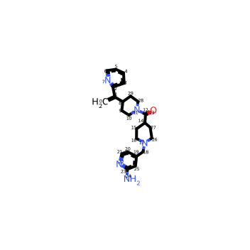 C=C(c1ccccn1)C1CCN(C(=O)C2CCN(Cc3ccnc(N)c3)CC2)CC1